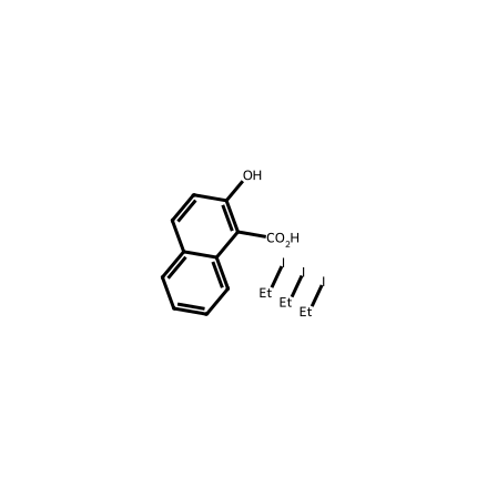 CCI.CCI.CCI.O=C(O)c1c(O)ccc2ccccc12